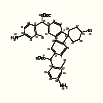 CCCCCCCCCCC(c1ccc(C2(c3ccc(C(CCCCCCCCCC)c4ccc(N)cc4C)cc3)CCC(CC)CC2)cc1)c1ccc(N)cc1C